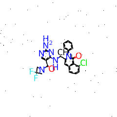 C[C@H](Nc1nc(N)ncc1C(=O)N1CC(F)(F)C1)c1cc2cccc(Cl)c2c(=O)n1-c1ccccc1